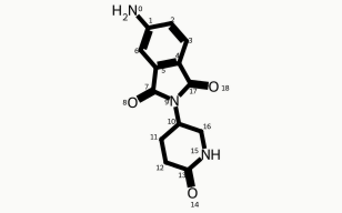 Nc1ccc2c(c1)C(=O)N(C1CCC(=O)NC1)C2=O